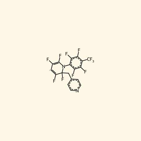 FC1=[C]C(F)=C(F)N(c2c(F)c(F)c(C(F)(F)F)c(F)c2F)C1(F)Cc1ccncc1